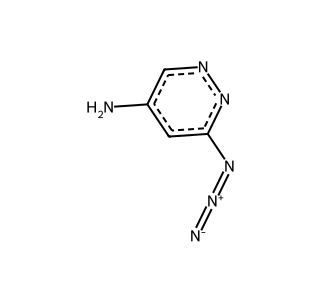 [N-]=[N+]=Nc1cc(N)cnn1